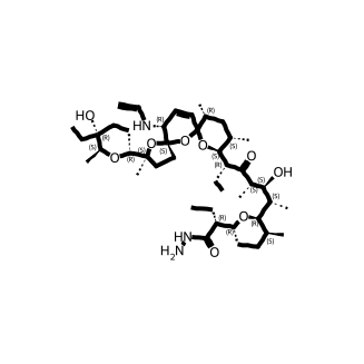 C=CN[C@@H]1C=CC2(O[C@H]([C@@H](CC)C(=O)[C@@H](C)[C@@H](O)[C@H](C)[C@@H]3O[C@@H]([C@@H](CC)C(=O)NN)CC[C@@H]3C)[C@@H](C)C[C@H]2C)O[C@@]12CC[C@@](C)([C@H]1CC[C@](O)(CC)[C@H](C)O1)O2